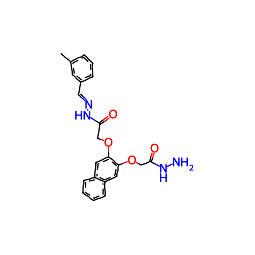 Cc1cccc(C=NNC(=O)COc2cc3ccccc3cc2OCC(=O)NN)c1